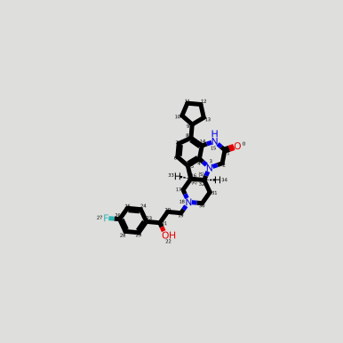 O=C1CN2c3c(ccc(C4CCCC4)c3N1)[C@@H]1CN(CCC(O)c3ccc(F)cc3)CC[C@@H]12